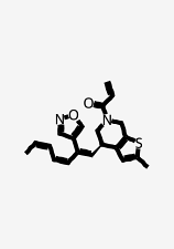 C=CC(=O)N1Cc2sc(C)cc2[C@@H](/C=C(/C=C\C=C/C)c2cnoc2)C1